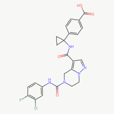 O=C(O)c1ccc(C2(NC(=O)c3cnn4c3CN(C(=O)Nc3ccc(F)c(Cl)c3)CC4)CC2)cc1